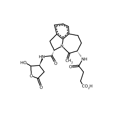 C=C1[C@@H](NC(=O)CCC(=O)O)CCc2cccc3c2N1[C@H](C(=O)N[C@H]1CC(=O)OC1O)C3